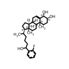 CC(CCCC(O)c1ccccc1F)[C@H]1CC[C@H]2[C@@H]3CC=C4[C@@H](O)[C@@H](O)CC[C@]4(C)[C@H]3CC[C@]12C